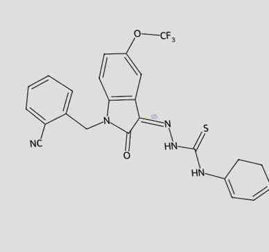 N#Cc1ccccc1CN1C(=O)/C(=N\NC(=S)NC2=CC=CCC2)c2cc(OC(F)(F)F)ccc21